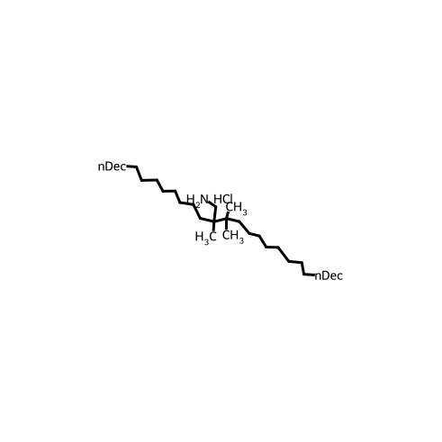 CCCCCCCCCCCCCCCCCCC(C)(C)C(C)(CN)CCCCCCCCCCCCCCCCCC.Cl